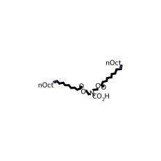 CCCCCCCC/C=C\CCCCCCCC(=O)OCCN(CCOC(=O)CCCCCCC/C=C\CCCCCCCC)C(=O)O